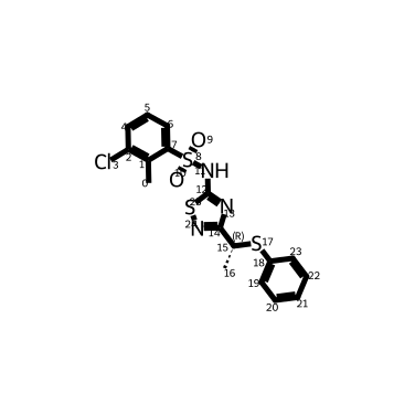 Cc1c(Cl)cccc1S(=O)(=O)Nc1nc([C@@H](C)Sc2ccccc2)ns1